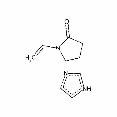 C=CN1CCCC1=O.c1c[nH]cn1